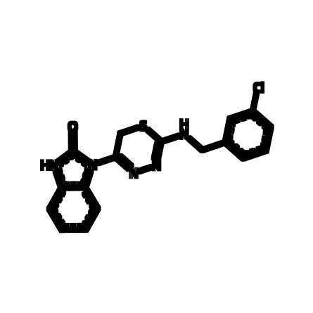 O=c1[nH]c2ccccc2n1C1=NN=C(NCc2cccc(Cl)c2)SC1